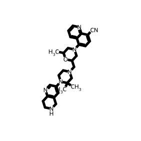 CC1CN(c2ccc(C#N)c3ncccc23)CC(CN2CCN(c3cnc4c(c3)CNCC4)C(C)(C)C2)O1